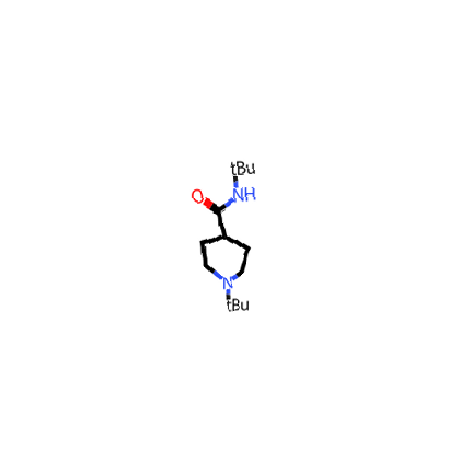 CC(C)(C)NC(=O)C1CCN(C(C)(C)C)CC1